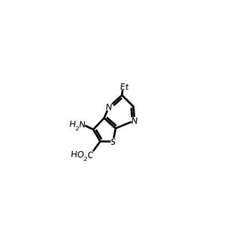 CCc1cnc2sc(C(=O)O)c(N)c2n1